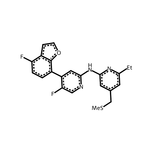 CCc1cc(CSC)cc(Nc2cc(-c3ccc(F)c4ccoc34)c(F)cn2)n1